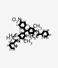 CC(=Nc1c(C)cc(C(c2ccc([N+](=O)[O-])cc2)c2cc(C)c(N=C(C)c3ccccn3)c(C)c2)cc1C)c1ccccn1